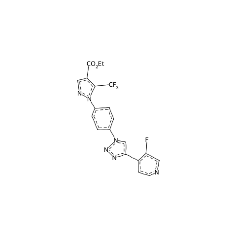 CCOC(=O)c1cnn(-c2ccc(-n3cc(-c4ccncc4F)nn3)cc2)c1C(F)(F)F